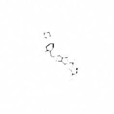 CC(=O)c1ccn(C(=O)N2CC3CN(Cc4ccc(N5CCCC5)cc4C(F)(F)F)CC3C2)n1